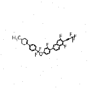 CC1CC=C(c2ccc(C(F)(F)Oc3ccc(-c4ccc5c(F)c(C#CC(F)(F)F)c(F)cc5c4)c(F)c3)cc2)CC1